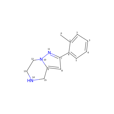 Cc1ccccc1-c1cc2n(n1)CCNC2